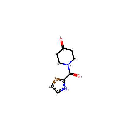 O=C1CCN(C(=O)c2nccs2)CC1